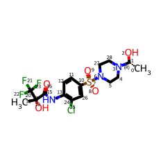 C[C@@H](O)N1CCN(S(=O)(=O)c2ccc(NC(=O)C(C)(O)C(F)(F)F)c(Cl)c2)CC1